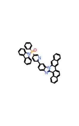 O=P(c1ccccc1)(c1ccc(-c2ccc3nc4c5c6ccccc6ccc5c5cc6ccccc6cc5n4c3c2)nc1)n1c2ccccc2c2ccccc21